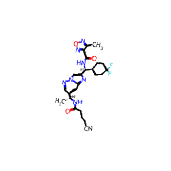 Cc1nonc1C(=O)N[C@H](c1cn2ncc([C@@H](C)NC(=O)CCCC#N)cc2n1)C1CCC(F)(F)CC1